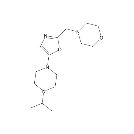 CC(C)N1CCN(c2[c]nc(CN3CCOCC3)o2)CC1